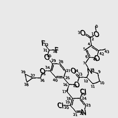 COC(=O)c1cc(CN2CCCC2C(=O)O[C@@H](Cc2c(Cl)cncc2Cl)c2ccc(OC(F)F)c(OCC3CC3)c2)oc1C